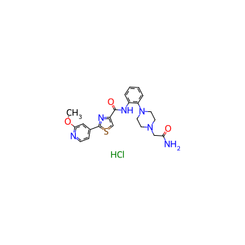 COc1cc(-c2nc(C(=O)Nc3ccccc3N3CCN(CC(N)=O)CC3)cs2)ccn1.Cl